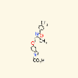 Cc1oc(-c2ccc(C(F)(F)F)cc2)nc1CCOc1ccc2c(ccn2CC(=O)O)c1